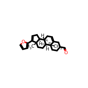 C[C@]12CCC(C=O)CC1=CC[C@@H]1[C@@H]2CC[C@]2(C)C(c3ccco3)=CC[C@@H]12